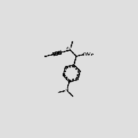 CC#C[C@@H](C)C(OC)c1ccc(N(C)C)cc1